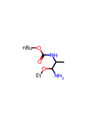 CCCCOC(=O)NC(C)C(N)OCC